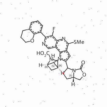 CSc1nc2c(F)c(-c3cccc4c3OCCC4)ncc2c2c1cc(C1CC[C@H]3COC(=O)N13)n2[C@H]1[C@@H]2C[C@H]1N(C(=O)O)C2